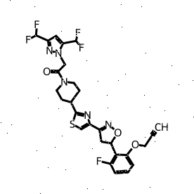 C#CCOc1cccc(F)c1C1CC(c2csc(C3CCN(C(=O)Cn4nc(C(F)F)cc4C(F)F)CC3)n2)=NO1